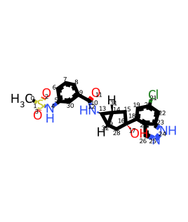 CS(=O)(=O)Nc1cccc(C(=O)N[C@@H]2[C@@H]3C[C@@](O)(c4cc(Cl)cc5[nH]ncc45)C[C@@H]32)c1